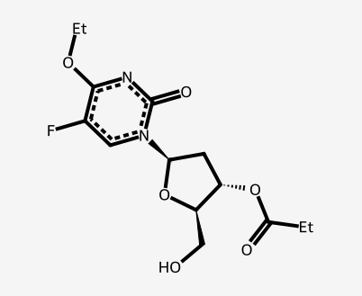 CCOc1nc(=O)n([C@H]2C[C@H](OC(=O)CC)[C@@H](CO)O2)cc1F